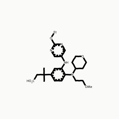 CCOc1ncc(Nc2cc(C(C)(C)CC(=O)O)ccc2N(CCOC)C2CCOCC2)cn1